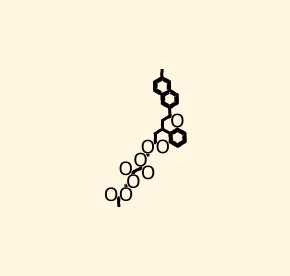 CC(=O)OCOC(=O)C(=O)OCOC(=O)CC(CC(=O)c1ccc2cc(C)ccc2c1)c1ccccc1